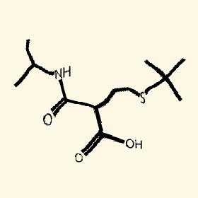 CC(C)NC(=O)C(CSC(C)(C)C)C(=O)O